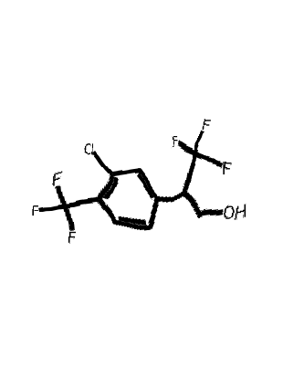 OCC(c1ccc(C(F)(F)F)c(Cl)c1)C(F)(F)F